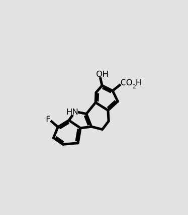 O=C(O)c1cc2c(cc1O)-c1[nH]c3c(F)cccc3c1CC2